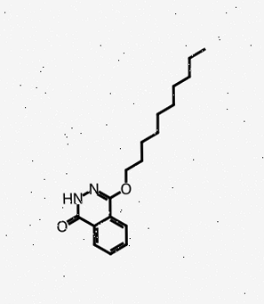 CCCCCCCCCCOc1n[nH]c(=O)c2ccccc12